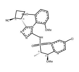 COc1cccc(OC)c1-n1c(NS(=O)(=O)[C@@H](C)[C@H](OC)c2ncc(Cl)cn2)nnc1[C@H]1CC[C@@H]1C#N